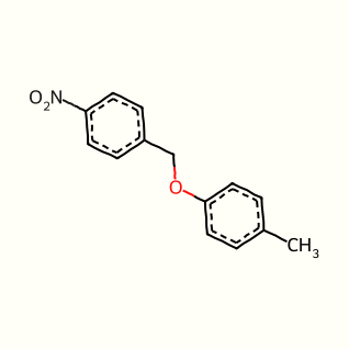 Cc1ccc(OCc2ccc([N+](=O)[O-])cc2)cc1